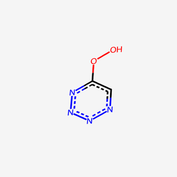 OOc1cnnnn1